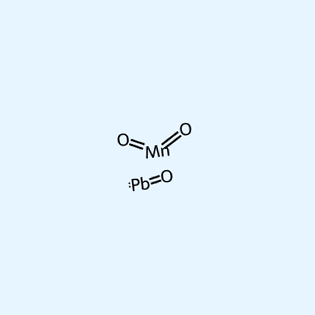 [O]=[Mn]=[O].[O]=[Pb]